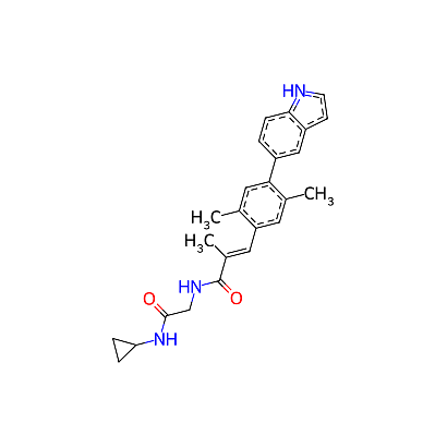 C/C(=C\c1cc(C)c(-c2ccc3[nH]ccc3c2)cc1C)C(=O)NCC(=O)NC1CC1